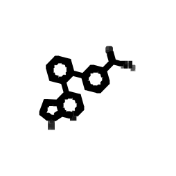 NC(=O)c1cccc(-c2ccccc2-c2ccnc3[nH]ccc23)c1